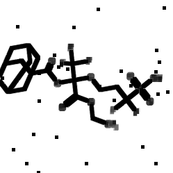 CCOC(=O)C(OCCC(F)(F)S(=O)(=O)O)(OC(=O)C12CC3CC(CC(C3)C1)C2)C(F)(F)F